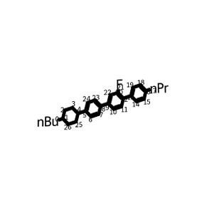 CCCCC1CCC(c2ccc(-c3ccc(-c4ccc(CCC)cc4)c(F)c3)cc2)CC1